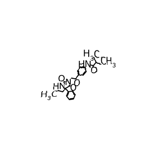 CCCC1(c2ccccc2)NC(=O)N(CC(=O)c2ccc(NC(=O)C(CC)CC)cc2)C1=O